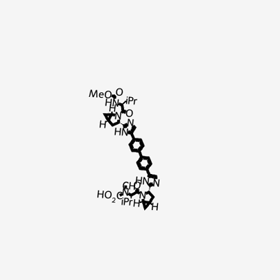 COC(=O)N[C@H](C(=O)N1[C@H](c2ncc(-c3ccc(-c4ccc(-c5cnc([C@@H]6C[C@@H]7C[C@@H]7N6C(=O)[C@H](C(C)C)N(C)C(=O)O)[nH]5)cc4)cc3)[nH]2)C[C@H]2C[C@@H]21)C(C)C